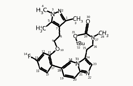 Cc1nn(C)c(C)c1CCOc1cc(F)ccc1-c1ccc2ncc(CCN(C)C(=O)OC(C)(C)C)n2c1